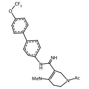 CNC1=C(C(=N)Nc2ccc(-c3ccc(OC(F)(F)F)cc3)cc2)CN(C(C)=O)CC1